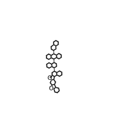 c1ccc2cc(-c3c4ccccc4c(-c4ccc(-c5cc6oc7cc8oc9ccccc9c8cc7c6c6ccccc56)c5ccccc45)c4ccccc34)ccc2c1